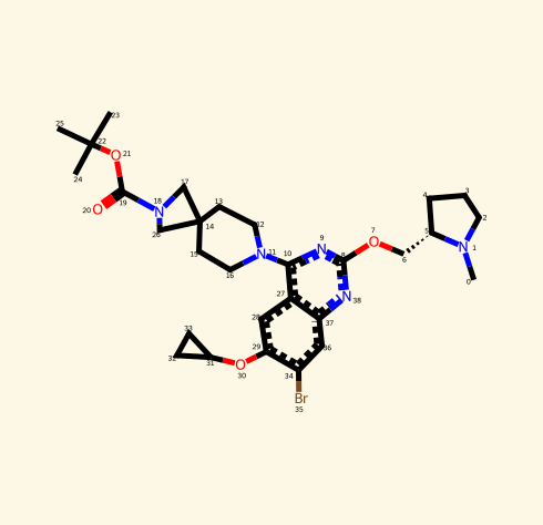 CN1CCC[C@H]1COc1nc(N2CCC3(CC2)CN(C(=O)OC(C)(C)C)C3)c2cc(OC3CC3)c(Br)cc2n1